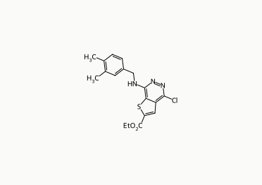 CCOC(=O)c1cc2c(Cl)nnc(NCc3ccc(C)c(C)c3)c2s1